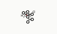 CC1(C)c2ccccc2-c2cccc(N(c3cccc(Cl)c3)c3cccc(N(c4ccccc4)c4ccccc4)c3)c21